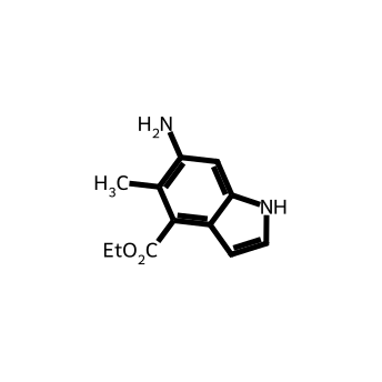 CCOC(=O)c1c(C)c(N)cc2[nH]ccc12